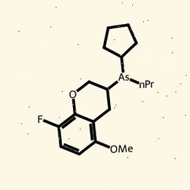 CCC[As](C1CCCC1)C1COc2c(F)ccc(OC)c2C1